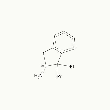 CCC1(C(C)C)c2ccccc2C[C@H]1N